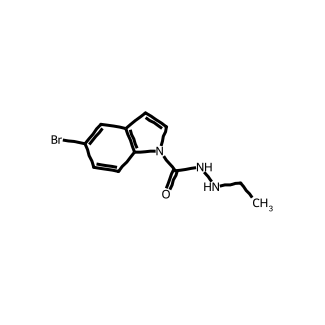 CCNNC(=O)n1ccc2cc(Br)ccc21